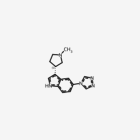 CN1CC[C@@H](c2c[nH]c3ccc(-n4cnnc4)cc23)C1